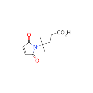 CC(C)(CCC(=O)O)N1C(=O)C=CC1=O